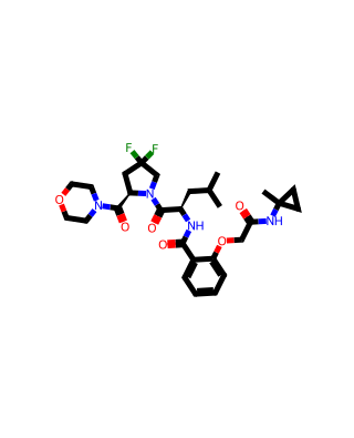 CC(C)C[C@@H](NC(=O)c1ccccc1OCC(=O)NC1(C)CC1)C(=O)N1CC(F)(F)C[C@@H]1C(=O)N1CCOCC1